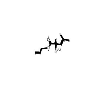 C=CCOC(=O)C(C)(C=C(C)C)C(C)(C)C